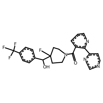 O=C(c1cccnc1-c1ccncn1)N1CCC(F)(C(O)c2ccc(C(F)(F)F)cc2)CC1